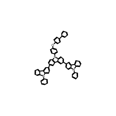 c1ccc(-c2ccc(Oc3ccc(-n4c5ccc(-c6ccc7c(c6)c6ccccc6n7-c6ccccc6)cc5c5cc(-c6ccc7c(c6)c6ccccc6n7-c6ccccc6)ccc54)cc3)cc2)cc1